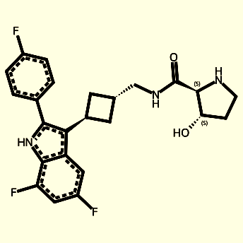 O=C(NC[C@H]1C[C@H](c2c(-c3ccc(F)cc3)[nH]c3c(F)cc(F)cc32)C1)[C@H]1NCC[C@@H]1O